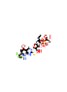 CCC(C)(C[C@H]1O[C@@H](n2cc3c(=O)cc(C(F)(F)F)[nH]c3nc2=S)[C@@H](O)C1O)OP(=O)(O)C(C)O